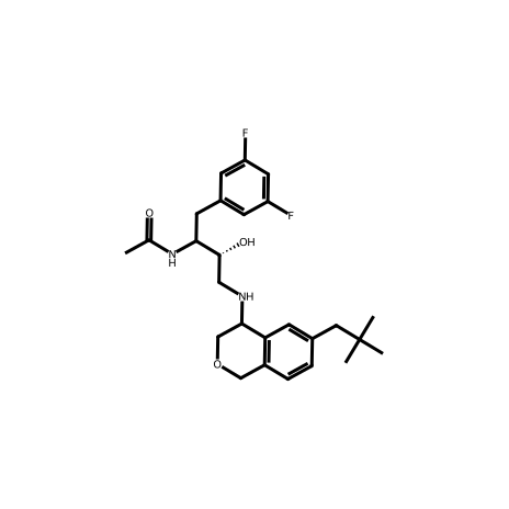 CC(=O)NC(Cc1cc(F)cc(F)c1)[C@H](O)CNC1COCc2ccc(CC(C)(C)C)cc21